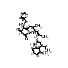 CCC(/C=C(\N)S/C(C)=C\CC(C)Cc1c(NCc2cnco2)c(=O)[nH]c(=O)n1C)c1ccccc1C